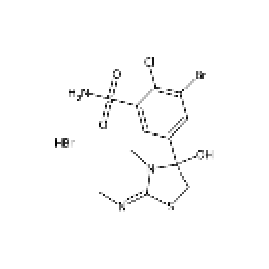 Br.CN=C1SCC(O)(c2cc(Br)c(Cl)c(S(N)(=O)=O)c2)N1C